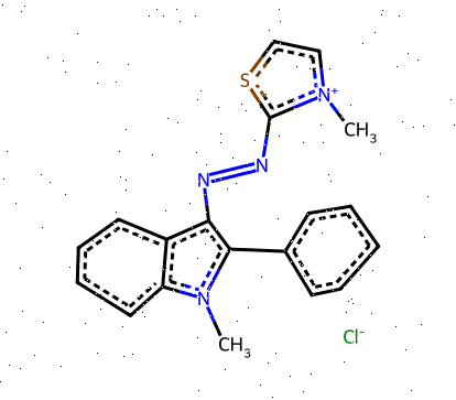 Cn1c(-c2ccccc2)c(N=Nc2scc[n+]2C)c2ccccc21.[Cl-]